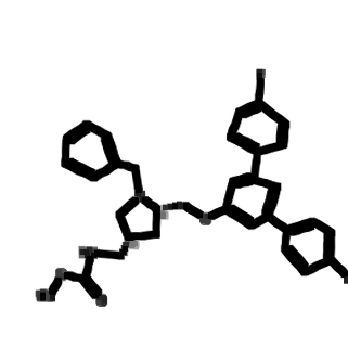 CC(C)(C)OC(=O)NC[C@H]1C[C@@H](COc2cc(-c3ccc(F)cc3)cc(-c3ccc(F)cc3)c2)N(Cc2ccccc2)C1